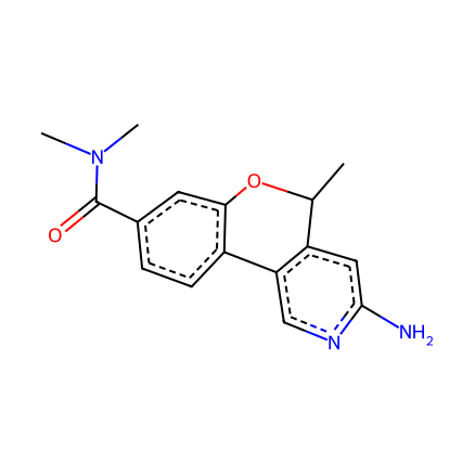 CC1Oc2cc(C(=O)N(C)C)ccc2-c2cnc(N)cc21